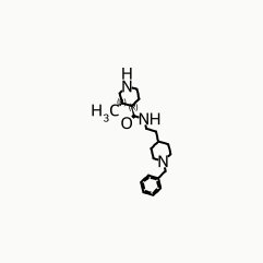 C[C@H]1CNCC[C@H]1C(=O)NCCC1CCN(Cc2ccccc2)CC1